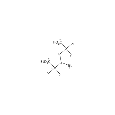 CCOC(=O)C(C)(C)C(CC)CC(C)(C)C(=O)O